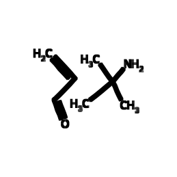 C=CC=O.CC(C)(C)N